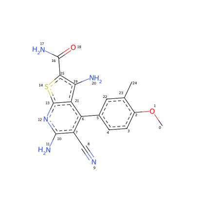 COc1ccc(-c2c(C#N)c(N)nc3sc(C(N)=O)c(N)c23)cc1C